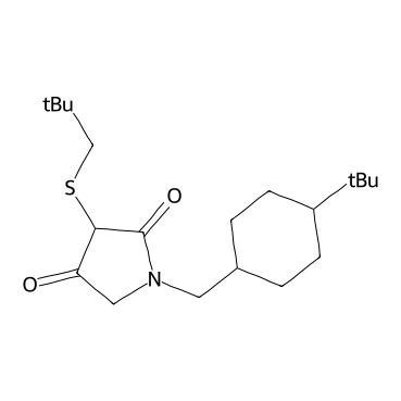 CC(C)(C)CSC1C(=O)CN(CC2CCC(C(C)(C)C)CC2)C1=O